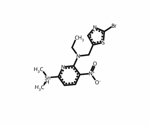 CCN(Cc1cnc(Br)s1)c1n[c]([SnH]([CH3])[CH3])ccc1[N+](=O)[O-]